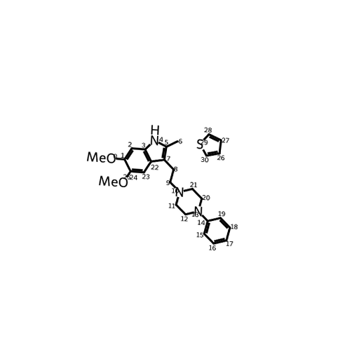 COc1cc2[nH]c(C)c(CCN3CCN(c4ccccc4)CC3)c2cc1OC.c1ccsc1